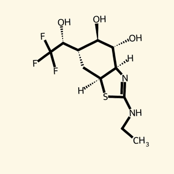 CCNC1=N[C@@H]2[C@@H](O)[C@H](O)[C@@H]([C@@H](O)C(F)(F)F)C[C@@H]2S1